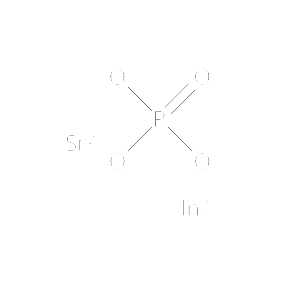 O=P([O-])([O-])[O-].[In+3].[Sr+2]